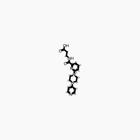 O=C(O)CCNC(=O)c1cccc(N2CCN(c3ccncc3)CC2)n1